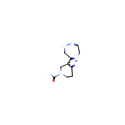 NC(=O)N1CCc2nn3c(c2C1)CNN=CC3